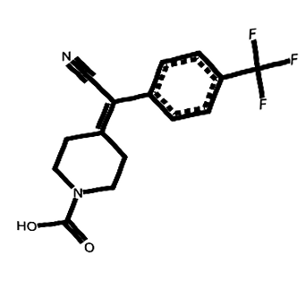 N#CC(=C1CCN(C(=O)O)CC1)c1ccc(C(F)(F)F)cc1